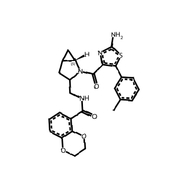 Cc1cccc(-c2sc(N)nc2C(=O)N2C(CNC(=O)c3cccc4c3OCCO4)CC3C[C@@H]32)c1